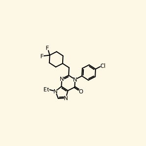 CCn1cnc2c(=O)n(-c3ccc(Cl)cc3)c(CC3CCC(F)(F)CC3)nc21